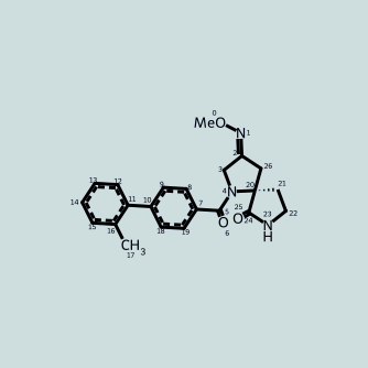 CO/N=C1\CN(C(=O)c2ccc(-c3ccccc3C)cc2)[C@@]2(CCNC2=O)C1